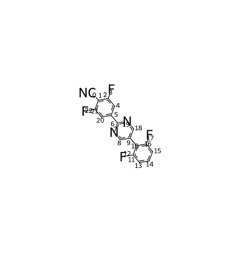 N#Cc1c(F)cc(-c2ncc(-c3c(F)cccc3F)cn2)cc1F